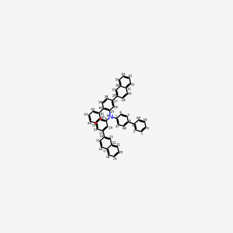 c1ccc(-c2ccc(N(c3cccc(-c4ccc5ccccc5c4)c3)c3cc(-c4ccc5ccccc5c4)ccc3-c3ccccc3)cc2)cc1